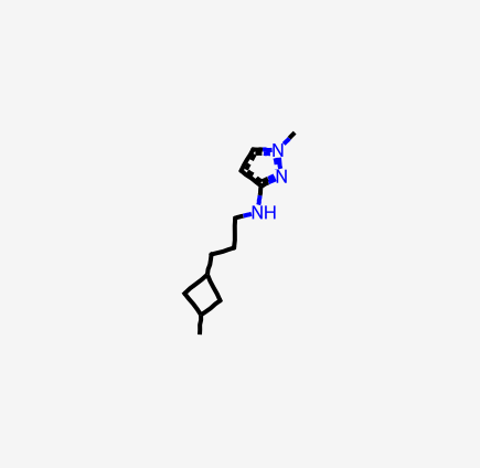 CC1CC(CCCNc2ccn(C)n2)C1